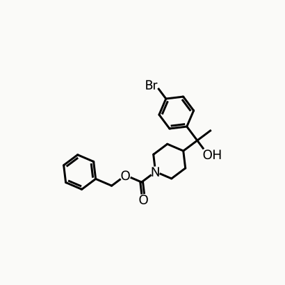 CC(O)(c1ccc(Br)cc1)C1CCN(C(=O)OCc2ccccc2)CC1